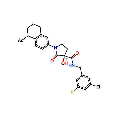 CC(=O)C1CCCc2cc(N3CC[C@](O)(C(=O)NCc4cc(F)cc(Cl)c4)C3=O)ccc21